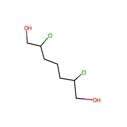 OCC(Cl)CCCC(Cl)CO